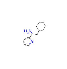 N[C@@H](CC1CCCCC1)c1ccccn1